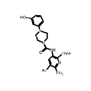 COc1nc(C)c(C(C)=O)cc1NC(=O)N1CCN(c2cccc(O)c2)CC1